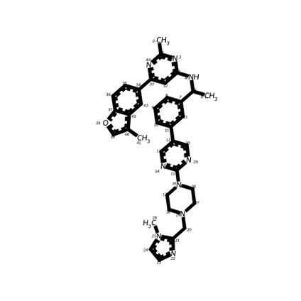 Cc1nc(NC(C)c2cccc(-c3cnc(N4CCN(Cc5nccn5C)CC4)nc3)c2)cc(-c2ccc3occ(C)c3c2)n1